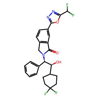 O=C1c2cc(-c3nnc(C(F)F)o3)ccc2CN1[C@H](c1ccccc1)[C@@H](O)C1CCC(F)(F)CC1